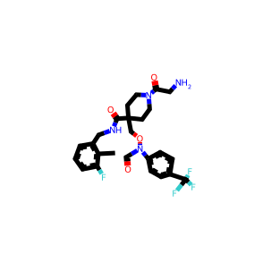 Cc1c(F)cccc1CNC(=O)C1(CON(C=O)c2ccc(C(F)(F)F)cc2)CCN(C(=O)CN)CC1